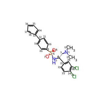 CN(C)C[C@@H](NS(=O)(=O)c1ccc(-c2ccccc2)cc1)c1ccc(Cl)c(Cl)c1